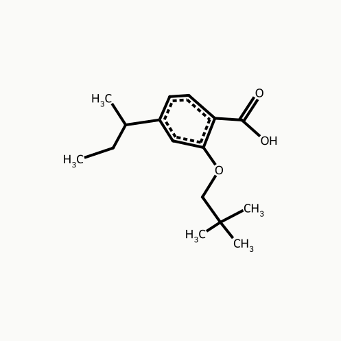 CCC(C)c1ccc(C(=O)O)c(OCC(C)(C)C)c1